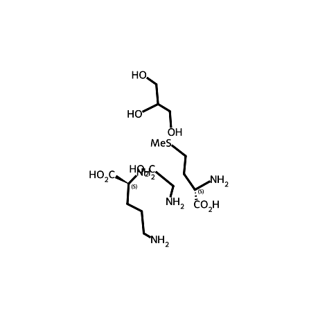 CSCC[C@H](N)C(=O)O.NCC(=O)O.NCCC[C@H](N)C(=O)O.OCC(O)CO